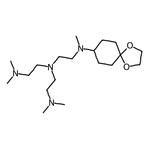 CN(C)CCN(CCN(C)C)CCN(C)C1CCC2(CC1)OCCO2